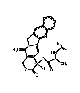 C=C1C2=C(C=C3c4nc5ccccc5cc4CN13)[C@](CC)(OC(=O)C(C)NC(=O)CC)C(=O)OC2